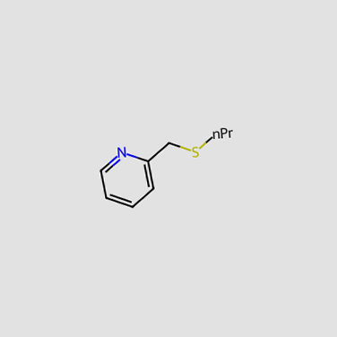 [CH2]CCSCc1ccccn1